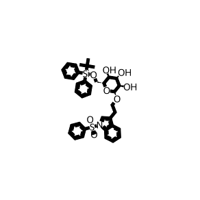 CC(C)(C)[Si](OC[C@H]1O[C@@H](OCCc2cn(S(=O)(=O)c3ccccc3)c3ccccc23)[C@H](O)[C@@H](O)[C@@H]1O)(c1ccccc1)c1ccccc1